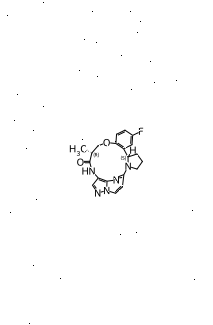 C[C@@H]1COc2ccc(F)cc2[C@@H]2CCCN2c2ccn3ncc(c3n2)NC1=O